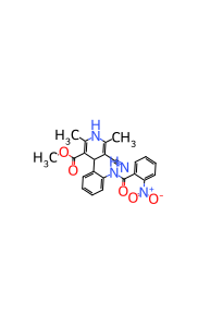 COC(=O)C1=C(C)NC(C)=C(C#N)C1c1ccccc1NC(=O)c1ccccc1[N+](=O)[O-]